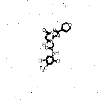 CCc1cc(=O)n2nc(C3=CCOCC3)nc2n1CC(=O)Nc1cc(Cl)c(C(F)(F)F)cc1Cl